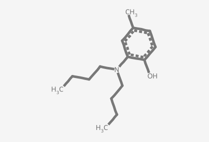 CCCCN(CCCC)c1cc(C)ccc1O